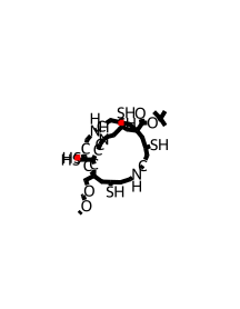 COCOCC12CC(S)CCNCCC(S)CC(C(=O)OC(C)(C)C)(CC(S)CCNCCC(S)C1)CC(S)CCNCCC(S)C2